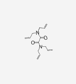 C=CCN(CC=C)C(=O)C(=O)N(CC=C)CC=C